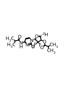 [2H]C[C@H]1O[C@@H](n2ccc(NC(=O)C(C)C)nc2=O)C(F)(P)C1OC(=O)C(C)C